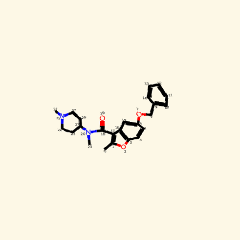 Cc1oc2ccc(OCc3ccccc3)cc2c1C(=O)N(C)C1CCN(C)CC1